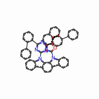 c1ccc(-c2ccc(-c3nc(-c4ccccc4-c4ccccc4)nc(-n4c5ccccc5c5ccc6c7ccccc7n(-c7nc8ccc9ccccc9c8o7)c6c54)n3)cc2)cc1